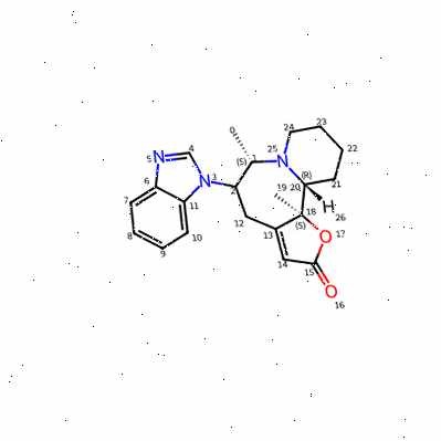 C[C@H]1C(n2cnc3ccccc32)CC2=CC(=O)O[C@]2(C)[C@H]2CCCCN12